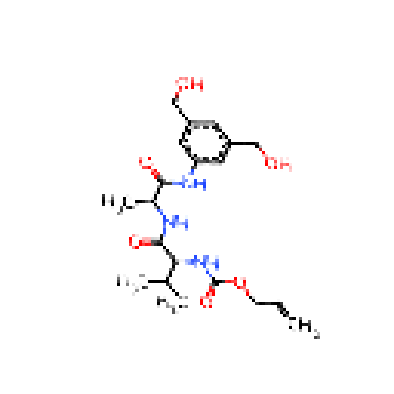 C=CCOC(=O)N[C@H](C(=O)N[C@@H](C)C(=O)Nc1cc(CO)cc(CO)c1)C(C)C